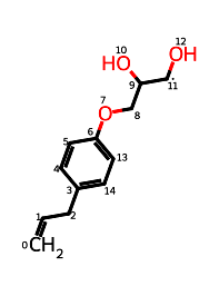 C=CCc1ccc(OCC(O)[CH]O)cc1